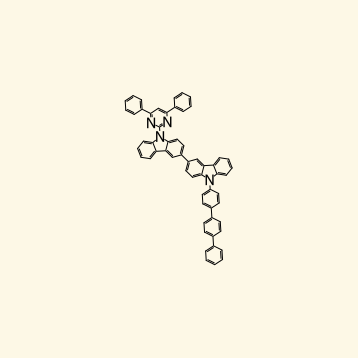 c1ccc(-c2ccc(-c3ccc(-n4c5ccccc5c5cc(-c6ccc7c(c6)c6ccccc6n7-c6nc(-c7ccccc7)cc(-c7ccccc7)n6)ccc54)cc3)cc2)cc1